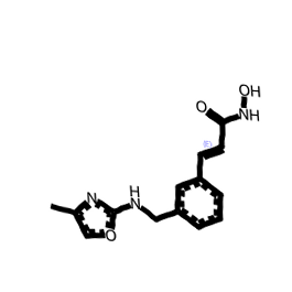 Cc1coc(NCc2cccc(/C=C/C(=O)NO)c2)n1